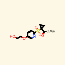 COC(=O)C1(S(=O)(=O)c2ccc(OCCO)cn2)CC1